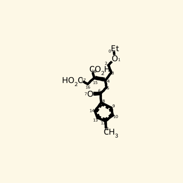 CCOCCC(CC(=O)c1ccc(C)cc1)=C(CC(=O)O)C(=O)O